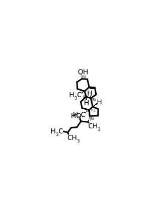 CC(C)CCC(O)C(C)[C@H]1CC[C@H]2[C@@H]3CC=C4C[C@@H](O)CC[C@]4(C)[C@H]3CC[C@]12C